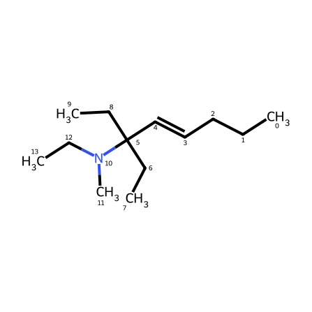 CCCC=CC(CC)(CC)N(C)CC